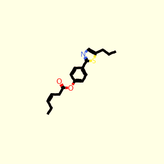 CC/C=C\CC(=O)Oc1ccc(-c2ncc(CCC)s2)cc1